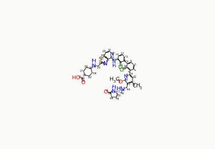 COc1nc(-c2cccc(-c3cccc(Nc4nccc5sc(CN[C@H]6CC[C@@H](C(=O)O)CC6)nc45)c3Cl)c2Cl)cc(C)c1CNC[C@@H]1CCC(=O)N1